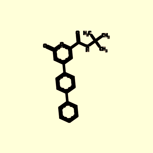 CC(C)(C)NC(=O)c1cc(-c2ccc(-c3ccccc3)cc2)cc(=O)o1